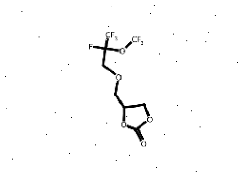 O=C1OCC(COCC(F)(OC(F)(F)F)C(F)(F)F)O1